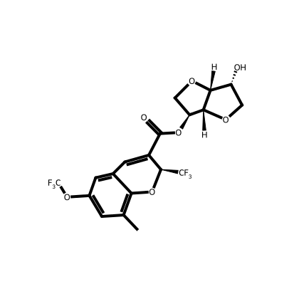 Cc1cc(OC(F)(F)F)cc2c1O[C@H](C(F)(F)F)C(C(=O)O[C@H]1CO[C@H]3[C@@H]1OC[C@H]3O)=C2